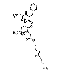 CCCOPOCCCNC(=O)CNC(=O)C(CC(C)C)NC(=O)C(Cc1ccccc1)NC(=O)CN